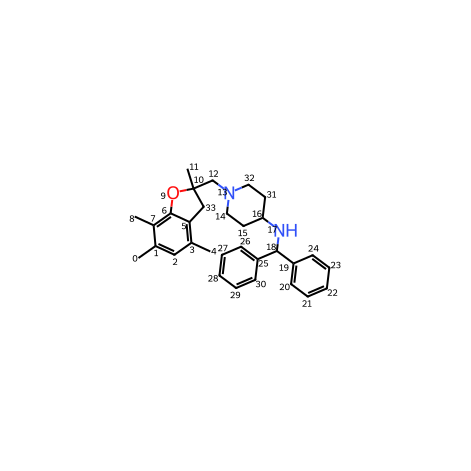 Cc1cc(C)c2c(c1C)OC(C)(CN1CCC(NC(c3ccccc3)c3ccccc3)CC1)C2